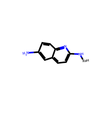 Nc1ccc2nc([NH][RaH])ccc2c1